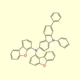 c1ccc(-c2ccc3c4cc(N(c5cccc6c5oc5ccccc56)c5cccc6oc7ccccc7c56)ccc4n(-c4ccccc4)c3c2)cc1